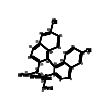 CCCCCP(CCCCC)c1ccc2cc(C#N)ccc2c1-c1c(P(CCCCC)CCCCC)ccc2cc(C#N)ccc12